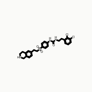 O=C(NCCc1cccc(Cl)c1Cl)Nc1ccc(S(=O)(=O)CCc2ccc3c(c2)CCNC3)cc1